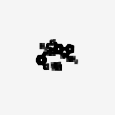 CC(NCc1cccc(Cl)c1)c1cc2c(cc1Cl)C1CCCC1C(N)=N2.Cl.Cl